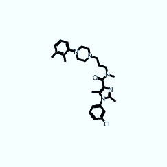 Cc1cccc(N2CCN(CCCN(C)C(=O)c3nc(C)n(-c4cccc(Cl)c4)c3C)CC2)c1C